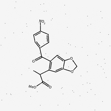 COC(=O)C(C)c1cc2c(cc1C(=O)c1ccc([N+](=O)[O-])cc1)OCO2